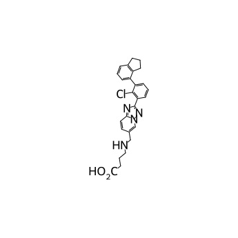 O=C(O)CCCNCc1ccc2nc(-c3cccc(-c4cccc5c4CCC5)c3Cl)nn2c1